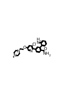 CN1CCN(CCOc2cnc(-c3ccc(C(N)=O)c(-c4ccccc4N)c3)c(Cl)c2)CC1